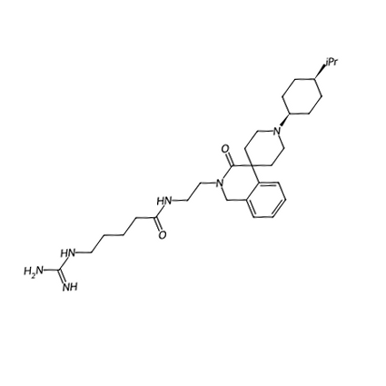 CC(C)[C@H]1CC[C@@H](N2CCC3(CC2)C(=O)N(CCNC(=O)CCCCNC(=N)N)Cc2ccccc23)CC1